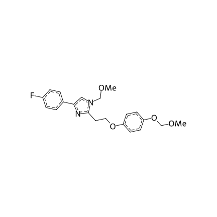 COCOc1ccc(OCCc2nc(-c3ccc(F)cc3)cn2COC)cc1